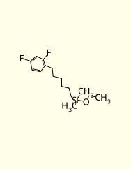 CCO[Si](C)(C)CCCCCCc1ccc(F)cc1F